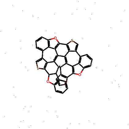 c1cc2c3c(c1)-c1csc4c5oc6cccc7c8csc9c%10oc%11cccc%12c%13csc%14c%13c%13c(c(c14)c(c5c67)c(c89)c%13c%10c%11%12)C3C%14O2